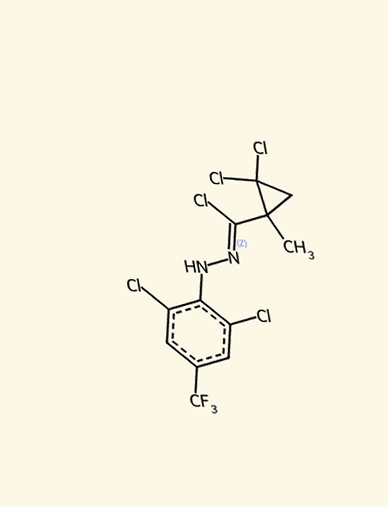 CC1(/C(Cl)=N/Nc2c(Cl)cc(C(F)(F)F)cc2Cl)CC1(Cl)Cl